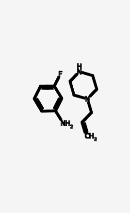 C=CCN1CCNCC1.Nc1cccc(F)c1